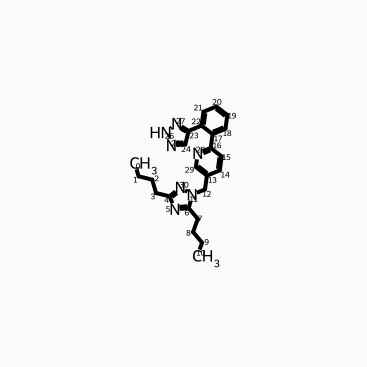 CCCCc1nc(CCCC)n(Cc2ccc(-c3ccccc3-c3cn[nH]n3)nc2)n1